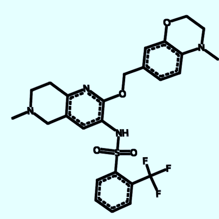 CN1CCc2nc(OCc3ccc4c(c3)OCCN4C)c(NS(=O)(=O)c3ccccc3C(F)(F)F)cc2C1